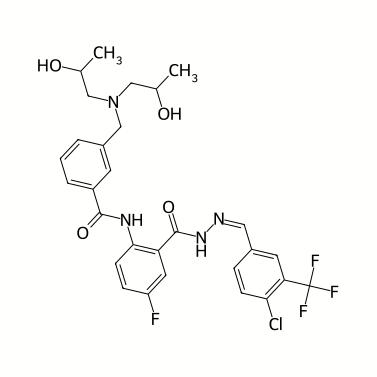 CC(O)CN(Cc1cccc(C(=O)Nc2ccc(F)cc2C(=O)N/N=C\c2ccc(Cl)c(C(F)(F)F)c2)c1)CC(C)O